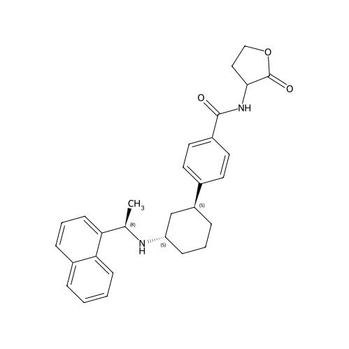 C[C@@H](N[C@H]1CCC[C@H](c2ccc(C(=O)NC3CCOC3=O)cc2)C1)c1cccc2ccccc12